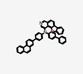 c1ccc(-c2ccc(N(c3ccc(-c4ccc5c(ccc6ccccc65)c4)cc3)c3cncc4ccc5c6ccccc6oc5c34)cc2)cc1